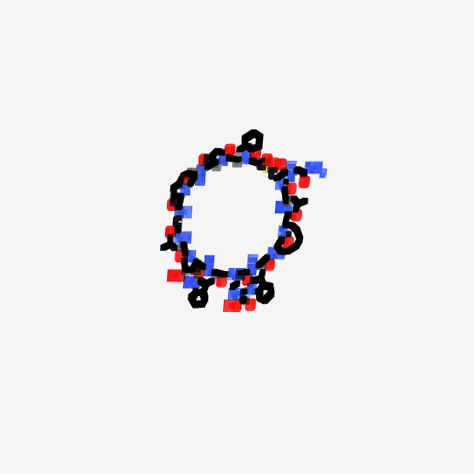 CC(C)C[C@@H]1NC(=O)C2CCCCCCC(NC(=O)[C@H](Cc3cn(CC(=O)O)c4ccccc34)NC(=O)[C@H](CCN)NC(=O)[C@H](Cc3c[nH]c4ccccc34)NC(=O)[C@@H]3C[C@@H](O)CN3C(=O)[C@H](CC(C)C)NC(=O)CNC(=O)[C@H]3CCC4CC[C@@H](NC(=O)[C@@H]5CCCN5C(=O)[C@H](Cc5ccccc5)NC(=O)CS(=O)(=O)CC(C(=O)NCC(N)=O)N(C)C1=O)C(=O)N43)C(=O)N2C